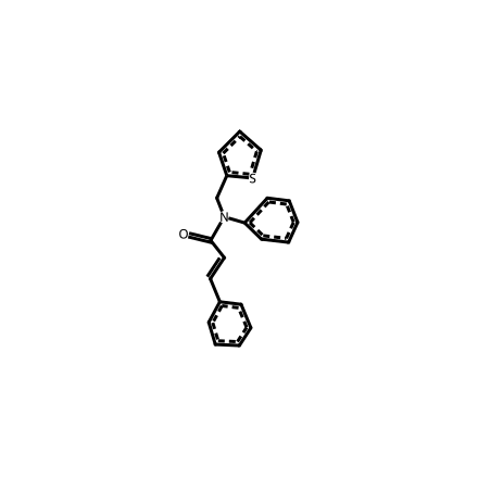 O=C(C=Cc1ccccc1)N(Cc1cccs1)c1ccccc1